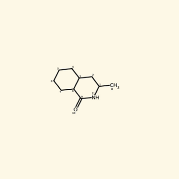 CC1CC2CCCCC2C(=O)N1